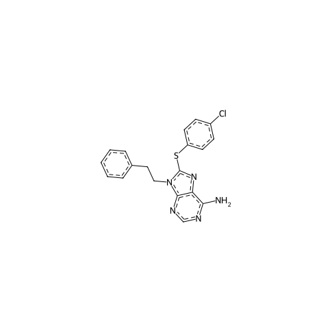 Nc1ncnc2c1nc(Sc1ccc(Cl)cc1)n2CCc1ccccc1